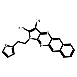 N#Cc1c(N)n(CCc2cccs2)c2nc3cc4ccccc4cc3nc12